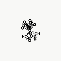 O=c1c2cc3c(=O)n(-c4cc(-n5c(C(O)c6ccccc6)nc6ccccc65)cc(-n5c(C(O)c6ccccc6)nc6ccccc65)c4)c(=O)c3cc2c(=O)n1-c1cc(-n2c(CO)nc3ccccc32)cc(-n2c(CO)nc3ccccc32)c1